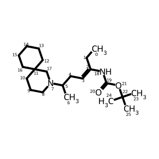 CC/C(=C\CC(C)N1CCCC2(CCCCC2)C1)NC(=O)OC(C)(C)C